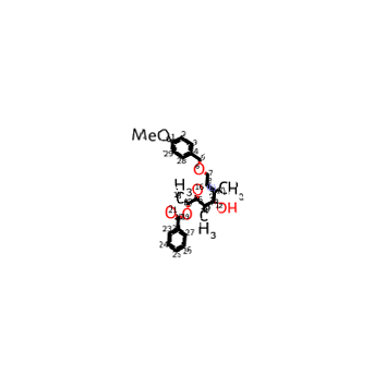 COc1ccc(COC/C=C(\C)[C@@H](O)[C@@H](C)C(=O)[C@H](C)OC(=O)c2ccccc2)cc1